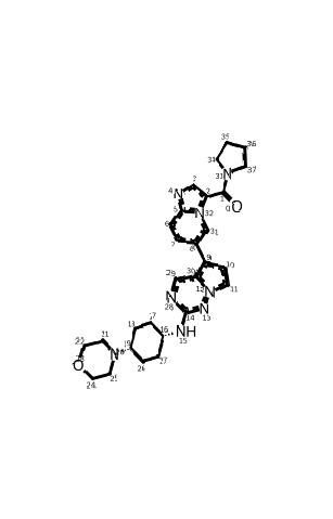 O=C(c1cnc2ccc(-c3ccn4nc(N[C@H]5CC[C@@H](N6CCOCC6)CC5)ncc34)cn12)N1CCCC1